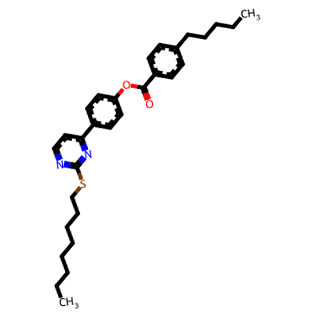 CCCCCCCCSc1nccc(-c2ccc(OC(=O)c3ccc(CCCCC)cc3)cc2)n1